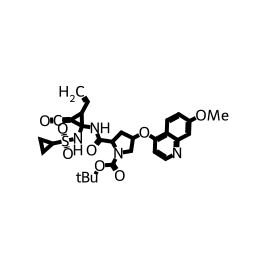 C=CC1C(=C=O)C1(NC(=O)C1CC(Oc2ccnc3cc(OC)ccc23)CN1C(=O)OC(C)(C)C)NS(=O)(=O)C1CC1